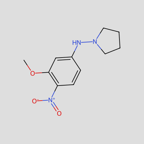 COc1cc(NN2CCCC2)ccc1[N+](=O)[O-]